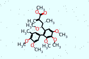 C=C(C(=O)OC)[C@H](C)[C@@H](OC)c1cc(OC)c(OC)c(OC)c1-c1cc(C)c(OC)c(OC)c1